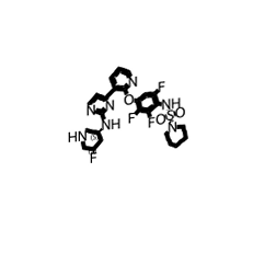 O=S(=O)(Nc1c(F)cc(Oc2ncccc2-c2ccnc(N[C@@H]3CNC[C@@H](F)C3)n2)c(F)c1F)N1CCCCC1